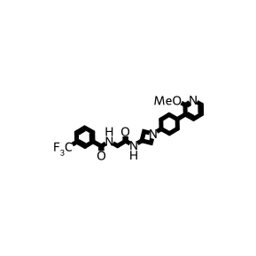 COc1ncccc1C1CCC(N2CC(NC(=O)CNC(=O)c3cccc(C(F)(F)F)c3)C2)CC1